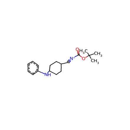 CC(C)(C)OC(=O)[N+]#CC1CCC(Nc2ccccc2)CC1